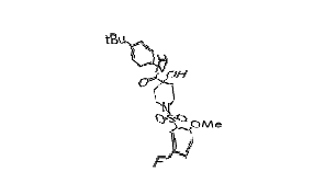 COc1ccc(F)cc1S(=O)(=O)N1CCC(O)(C(=O)Nc2ccc(C(C)(C)C)cc2)CC1